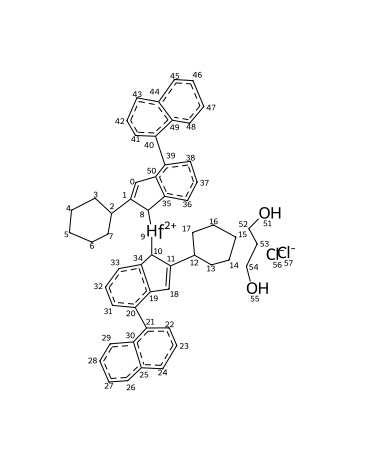 C1=C(C2CCCCC2)[CH]([Hf+2][CH]2C(C3CCCCC3)=Cc3c(-c4cccc5ccccc45)cccc32)c2cccc(-c3cccc4ccccc34)c21.OCCCO.[Cl-].[Cl-]